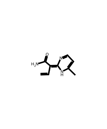 C=C/C(C(N)=O)=C1/N=CC=C(C)N1